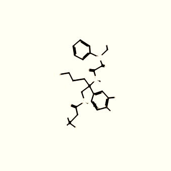 CCN(C(=O)C(=O)N(C)C(C[C@H](O)CO)(CN(C)C(=O)CC(F)(F)F)c1ccc(Cl)c(Cl)c1)c1ccccc1